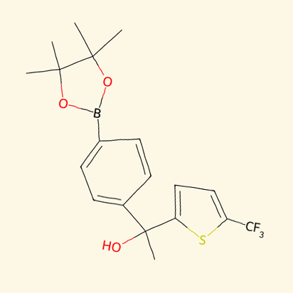 CC(O)(c1ccc(B2OC(C)(C)C(C)(C)O2)cc1)c1ccc(C(F)(F)F)s1